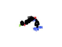 CO[C@H]1c2ccc(Oc3cccc(F)c3)cc2Cc2cc(C(=O)NCc3ccc(C(=N)N)cc3)ccc21